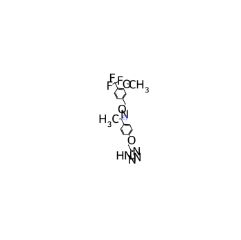 COc1cc(CO/N=C(\C)c2ccc(OCc3nnn[nH]3)cc2)ccc1C(F)(F)F